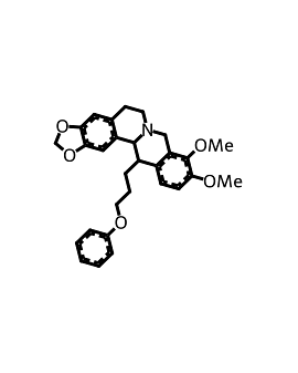 COc1ccc2c(c1OC)CN1CCc3cc4c(cc3C1C2CCCOc1ccccc1)OCO4